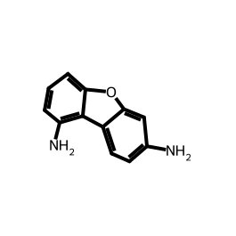 Nc1ccc2c(c1)oc1cccc(N)c12